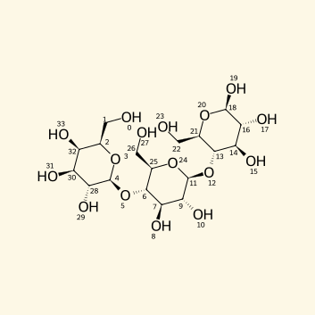 OC[C@H]1O[C@@H](O[C@H]2[C@H](O)[C@@H](O)[C@H](O[C@H]3[C@H](O)[C@@H](O)[C@H](O)O[C@@H]3CO)O[C@@H]2CO)[C@H](O)[C@@H](O)[C@H]1O